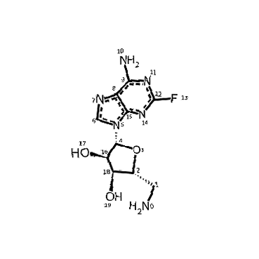 NC[C@H]1O[C@@H](n2cnc3c(N)nc(F)nc32)[C@H](O)[C@@H]1O